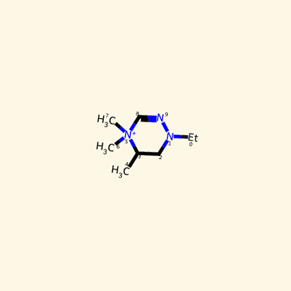 CCN1CC(C)[N+](C)(C)C=N1